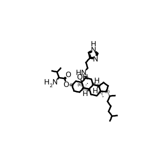 CC(C)CCCC(C)[C@H]1CC[C@H]2[C@@H]3C[C@@H](NCCc4c[nH]cn4)[C@@]4(O)C[C@@H](OC(=O)C(N)C(C)C)CC[C@]4(C)[C@H]3CC[C@]12C